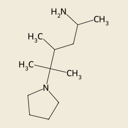 CC(N)CC(C)C(C)(C)N1CCCC1